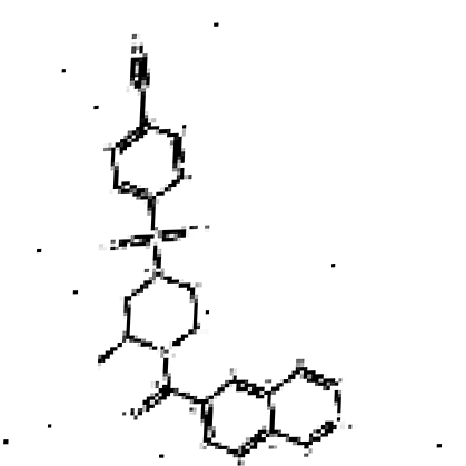 C[C@H]1CN(S(=O)(=O)c2ccc(C#N)cc2)CCN1C(=O)c1ccc2cnccc2c1